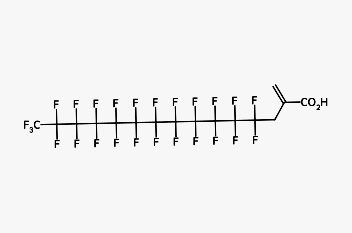 C=C(CC(F)(F)C(F)(F)C(F)(F)C(F)(F)C(F)(F)C(F)(F)C(F)(F)C(F)(F)C(F)(F)C(F)(F)C(F)(F)C(F)(F)F)C(=O)O